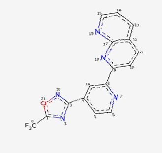 FC(F)(F)c1nc(-c2ccnc(-c3ccc4cccnc4n3)c2)no1